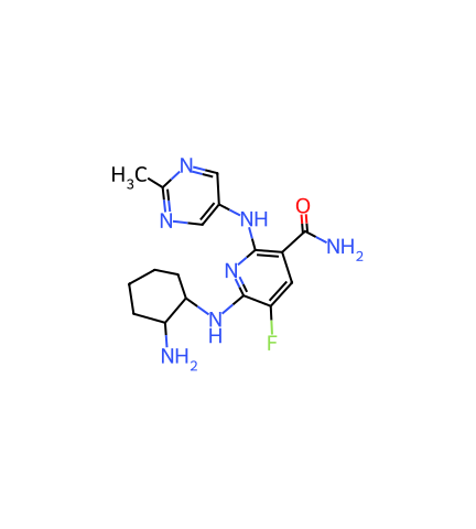 Cc1ncc(Nc2nc(NC3CCCCC3N)c(F)cc2C(N)=O)cn1